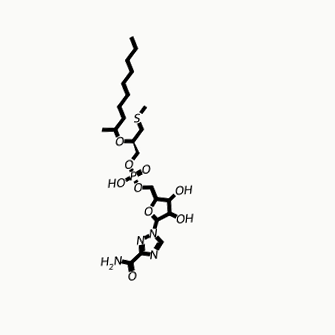 CCCCCCCCC(C)O[C@H](COP(=O)(O)OCC1OC(n2cnc(C(N)=O)n2)C(O)C1O)CSC